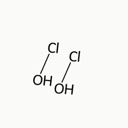 OCl.OCl